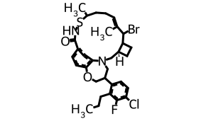 CCCc1c(C2COc3ccc4cc3N(C2)C[C@@H]2CCC2C(Br)/C(C)=C/CCC(C)SNC4=O)ccc(Cl)c1F